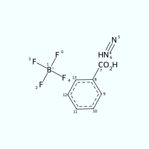 F[B-](F)(F)F.N#[NH+].O=C(O)c1ccccc1